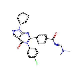 CN(C)/C=N/C(=O)c1ccc(-c2nc3c(cnn3-c3ccccc3)c(=O)n2-c2ccc(Cl)cc2)cc1